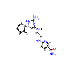 Cc1cccc(C2C=C(NCCNc3ccc(C(N)=O)cn3)N=C(N)N2)c1C